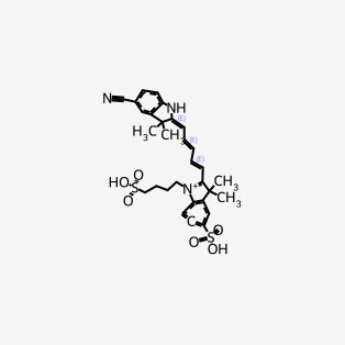 CC1(C)C(/C=C/C=C/C=C2/Nc3ccc(C#N)cc3C2(C)C)=[N+](CCCCS(=O)(=O)O)c2ccc(S(=O)(=O)O)cc21